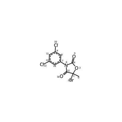 CC1(Br)OC(=O)N(c2cc(Cl)cc(Cl)c2)C1=O